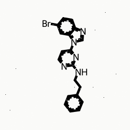 Brc1ccc2ncn(-c3ccnc(NCCc4ccccc4)n3)c2c1